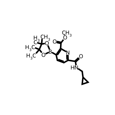 COC(=O)c1nc(C(=O)NCC2CC2)ccc1B1OC(C)(C)C(C)(C)O1